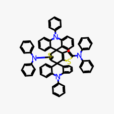 c1ccc(N(c2ccccc2)c2cc3c(s2)C2(c4ccccc4N(c4ccccc4)c4ccccc42)c2cc(N(c4ccccc4)c4ccccc4)sc2C32c3ccccc3N(c3ccccc3)c3ccccc32)cc1